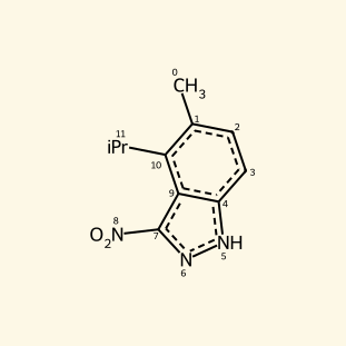 Cc1ccc2[nH]nc([N+](=O)[O-])c2c1C(C)C